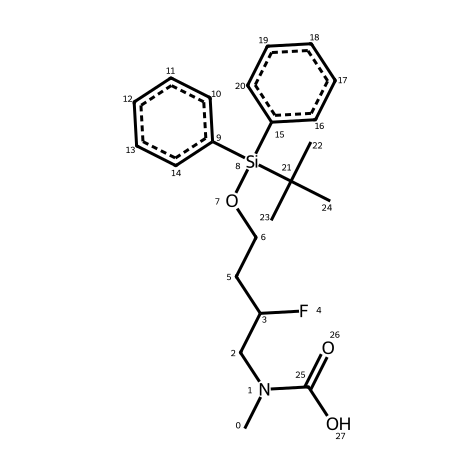 CN(CC(F)CCO[Si](c1ccccc1)(c1ccccc1)C(C)(C)C)C(=O)O